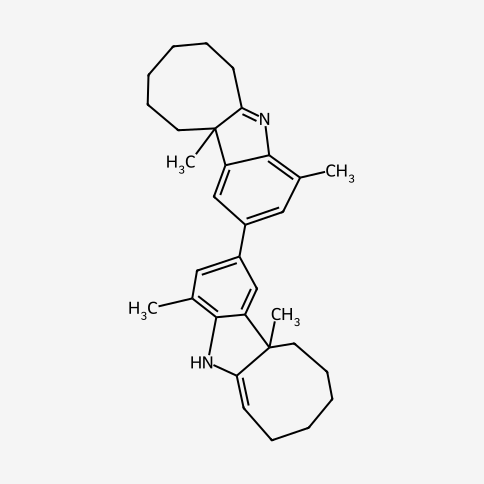 Cc1cc(-c2cc(C)c3c(c2)C2(C)CCCCC/C=C\2N3)cc2c1N=C1CCCCCCC12C